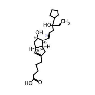 C=CC(O)(C/C=C/[C@H]1[C@H]2CC(CCCCC(=O)O)=C[C@H]2C[C@H]1O)C1CCCC1